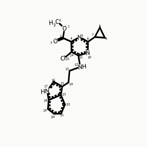 COC(=O)c1nc(C2CC2)nc(NCCc2c[nH]c3ccccc23)c1Cl